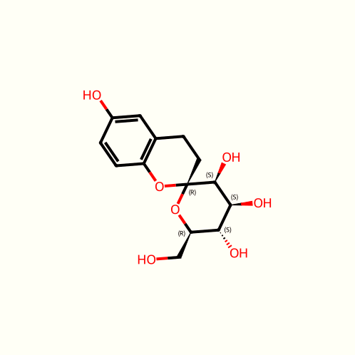 OC[C@H]1O[C@@]2(CCc3cc(O)ccc3O2)[C@@H](O)[C@@H](O)[C@@H]1O